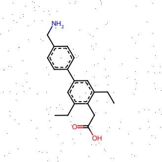 CCc1cc(-c2ccc(CN)cc2)cc(CC)c1CC(=O)O